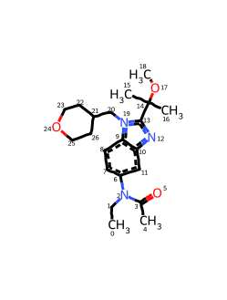 CCN(C(C)=O)c1ccc2c(c1)nc(C(C)(C)OC)n2CC1CCOCC1